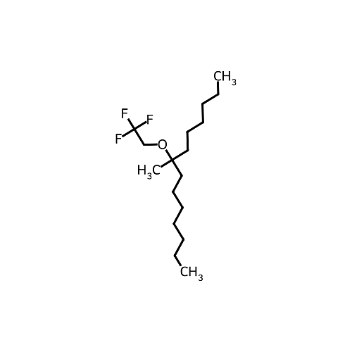 CCCCCCCC(C)(CCCCCC)OCC(F)(F)F